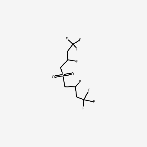 O=S(=O)(CC(F)CC(F)(F)F)CC(F)CC(F)(F)F